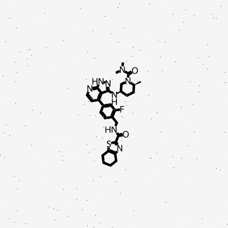 C[C@H]1CC[C@@H](Nc2n[nH]c3nccc(-c4ccc(CNC(=O)c5nc6c(s5)CCCC6)c(F)c4)c23)CN1C(=O)N(C)C